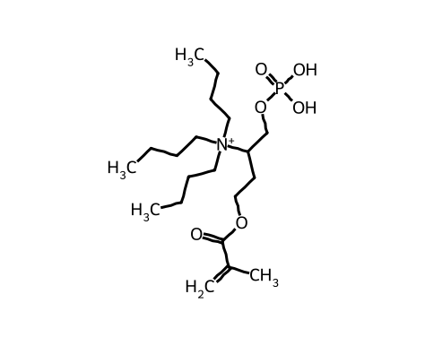 C=C(C)C(=O)OCCC(COP(=O)(O)O)[N+](CCCC)(CCCC)CCCC